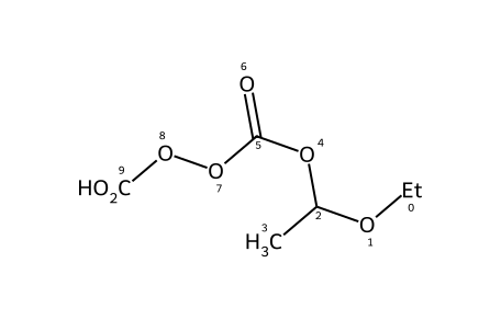 CCOC(C)OC(=O)OOC(=O)O